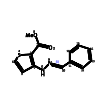 COC(=O)c1sccc1N/N=C/c1ccccc1